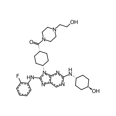 O=C([C@H]1CC[C@@H](n2c(Nc3ccccc3F)nc3cnc(N[C@H]4CC[C@H](O)CC4)nc32)CC1)N1CCN(CCO)CC1